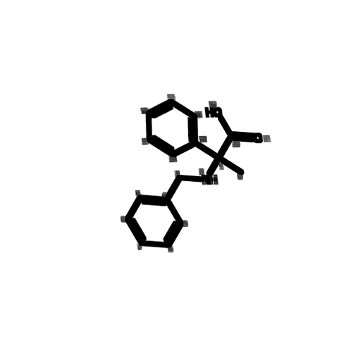 CC(NCc1ccccc1)(C(=O)O)c1ccccc1